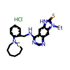 CCn1c(=S)[nH]c2cc3c(NCc4ccccc4N4CCCCCCC4)ncnc3cc21.Cl